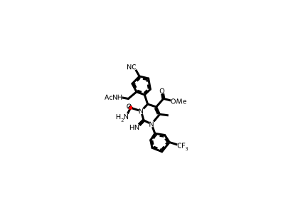 COC(=O)C1=C(C)N(c2cccc(C(F)(F)F)c2)C(=N)N(C(N)=O)C1c1ccc(C#N)cc1CNC(C)=O